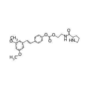 COc1cc(/C=C/c2ccc(OC(=O)OCCNC(=O)C3CCCN3)cc2)cc(OC)c1